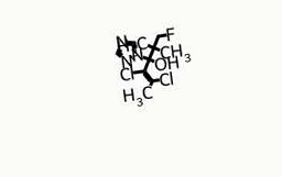 CC(Cl)=C(Cl)C(O)(n1cncn1)C(C)(C)CF